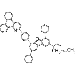 C=C(/C=C\C=C/C)c1cc(-c2ccccc2)c2oc3c(-c4ccc(-c5ccc6c7ccccc7c7ccccc7c6n5)cc4)cc(-c4ccccc4)cc3c2c1